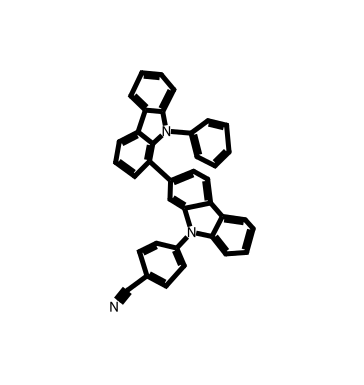 N#Cc1ccc(-n2c3ccccc3c3ccc(-c4cccc5c6ccccc6n(-c6ccccc6)c45)cc32)cc1